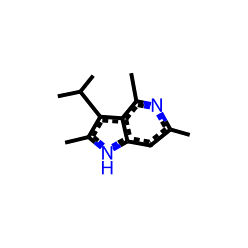 Cc1cc2[nH]c(C)c(C(C)C)c2c(C)n1